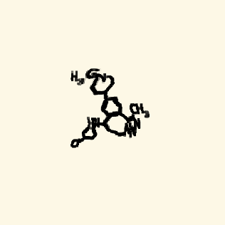 Cc1nnn2c1-c1ccc(C3CCN(C)CC3)cc1C(Nc1ccc(Cl)cc1)CC2